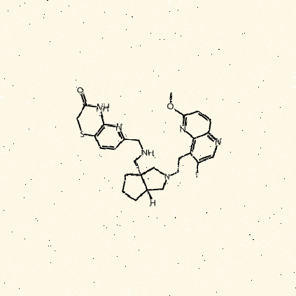 COc1ccc2ncc(F)c(CCN3C[C@@H]4CCC[C@]4(CNCc4ccc5c(n4)NC(=O)CS5)C3)c2n1